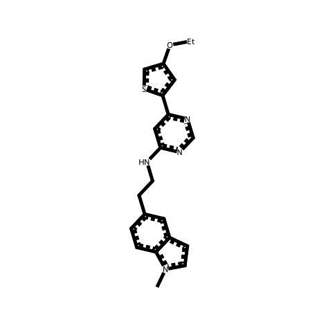 CCOc1csc(-c2cc(NCCc3ccc4c(ccn4C)c3)ncn2)c1